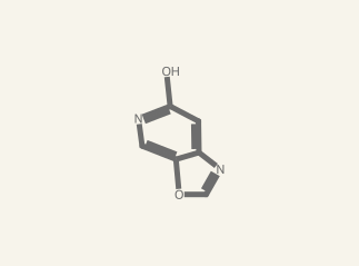 Oc1cc2ncoc2cn1